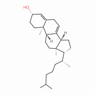 CC(C)CCC[C@@H](C)[C@H]1CC[C@H]2C3=CCC4=C[C@@H](O)CC[C@]4(C)[C@H]3CC[C@]12C